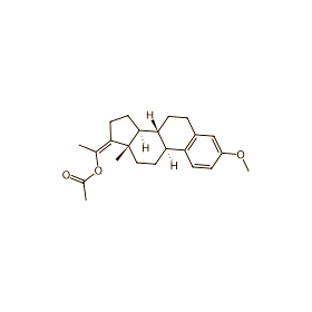 COc1ccc2c(c1)CC[C@@H]1[C@@H]2CC[C@]2(C)C(=C(C)OC(C)=O)CC[C@@H]12